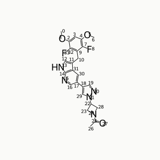 COc1cc(OC)c(F)c(Cc2c[nH]c3ncc(-c4cnn(C5CN(C(C)=O)C5)c4)cc23)c1F